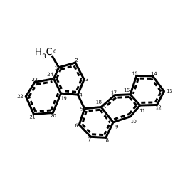 Cc1ccc(-c2cccc3cc4ccccc4cc23)c2ccccc12